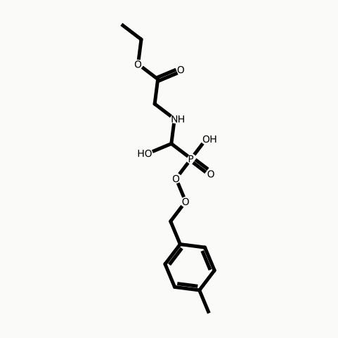 CCOC(=O)CNC(O)P(=O)(O)OOCc1ccc(C)cc1